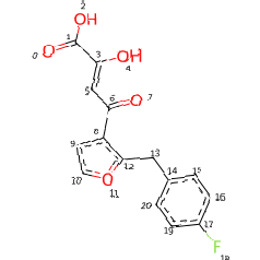 O=C(O)C(O)=CC(=O)c1ccoc1Cc1ccc(F)cc1